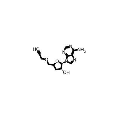 C#CCOCC1C[C@@H](O)[C@H](n2cnc3c(N)ncnc32)O1